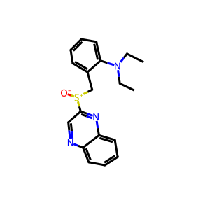 CCN(CC)c1ccccc1C[S+]([O-])c1cnc2ccccc2n1